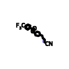 N#C/C=C/CCC1CCC(OC(=O)c2ccc(C(F)(F)F)cc2)CC1